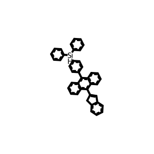 C1=C(c2c3ccccc3c(-c3ccc([SiH](c4ccccc4)c4ccccc4)cc3)c3ccccc23)Cc2ccccc21